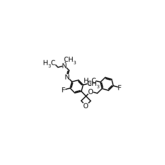 CCN(C)C=Nc1cc(C)c(C2(OCc3cc(F)ccc3C)COC2)cc1F